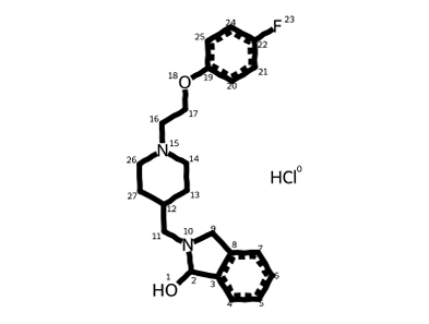 Cl.OC1c2ccccc2CN1CC1CCN(CCOc2ccc(F)cc2)CC1